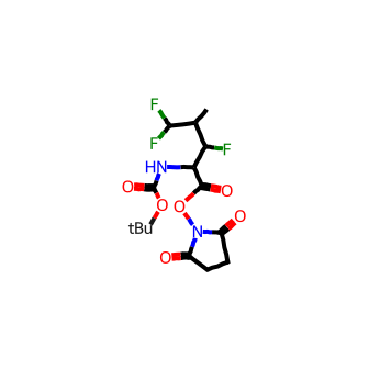 CC(C(F)F)C(F)C(NC(=O)OC(C)(C)C)C(=O)ON1C(=O)CCC1=O